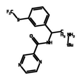 CC(C)(C)N.CC(NC(=O)c1cnccn1)c1cccc(SC(F)(F)F)c1